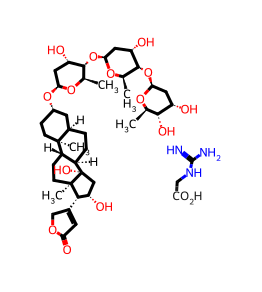 C[C@H]1O[C@@H](O[C@H]2[C@@H](O)C[C@H](O[C@H]3[C@@H](O)C[C@H](O[C@H]4CC[C@@]5(C)[C@H](CC[C@@H]6[C@@H]5CC[C@]5(C)[C@@H](C7=CC(=O)OC7)[C@@H](O)C[C@]65O)C4)O[C@@H]3C)O[C@@H]2C)C[C@H](O)[C@@H]1O.N=C(N)NCC(=O)O